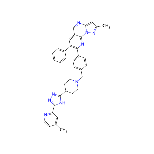 Cc1ccnc(-c2nnc(C3CCN(Cc4ccc(-c5nc6c(cnc7cc(C)nn76)cc5-c5ccccc5)cc4)CC3)[nH]2)c1